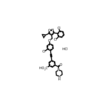 Cl.O=C(O)c1cc(C#Cc2ccc(OCc3c(-c4c(Cl)cccc4Cl)noc3C3CC3)cc2Cl)cc(C(=O)N2CCNCC2)c1